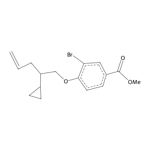 C=CCC(COc1ccc(C(=O)OC)cc1Br)C1CC1